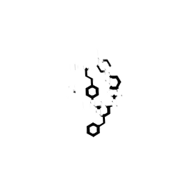 O=C(O)CCc1ccc(Nc2nc(Cc3ccccc3)cc(Nc3nc4ccc(N5CCNCC5)nc4s3)n2)cc1.O=CO